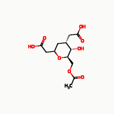 CC(=O)OC[C@H]1OC(CC(=O)O)C[C@H](CC(=O)O)[C@@H]1O